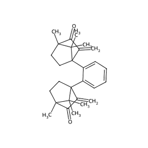 C=C1C(=O)C2(C)CCC1(c1ccccc1C13CCC(C)(C(=O)C1=C)C3(C)C)C2(C)C